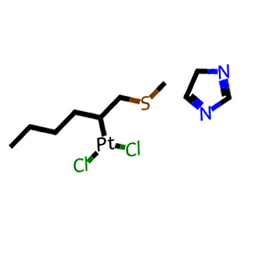 C1=NC=NC1.CCCC[CH](CSC)[Pt]([Cl])[Cl]